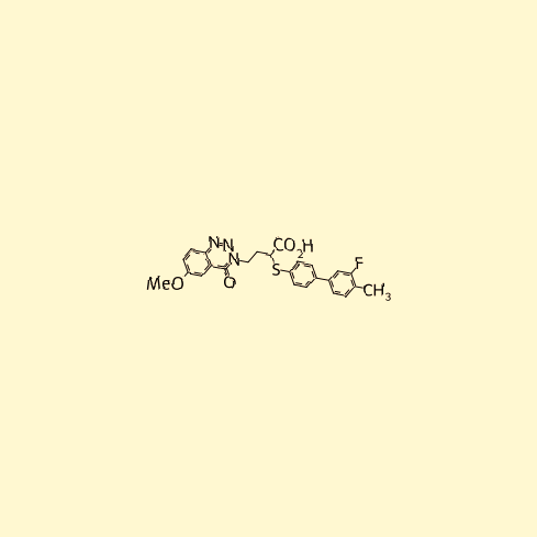 COc1ccc2nnn(CCC(Sc3ccc(-c4ccc(C)c(F)c4)cc3)C(=O)O)c(=O)c2c1